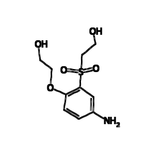 Nc1ccc(OCCO)c(S(=O)(=O)CCO)c1